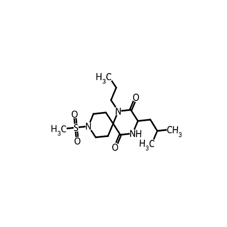 CCCN1C(=O)C(CC(C)C)NC(=O)C12CCN(S(C)(=O)=O)CC2